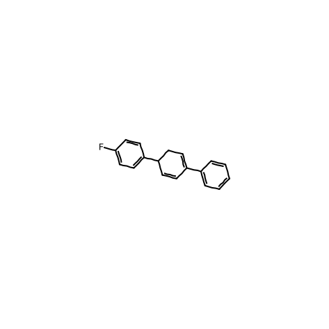 Fc1ccc(C2C=CC(c3ccccc3)=CC2)cc1